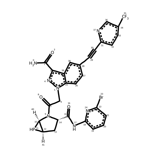 NC(=O)c1nn(CC(=O)N2[C@@H]3P[C@@H]3C[C@H]2C(=O)Nc2cccc(Br)n2)c2ccc(C#Cc3ccc(C(F)(F)F)cn3)cc12